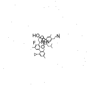 Cc1cc(C)c(-c2cc(C)c(F)c(C(CC(=O)O)NC(=O)C(CC(C)C)n3cc(CCN(C)C)c(C)cc3=O)c2)c(C2CC2)c1